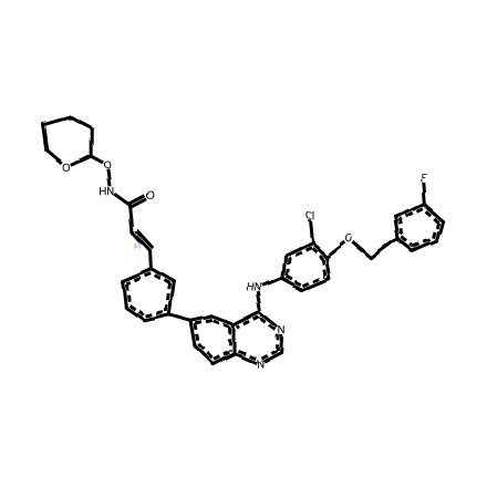 O=C(/C=C/c1cccc(-c2ccc3ncnc(Nc4ccc(OCc5cccc(F)c5)c(Cl)c4)c3c2)c1)NOC1CCCCO1